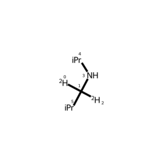 [2H]C([2H])(NC(C)C)C(C)C